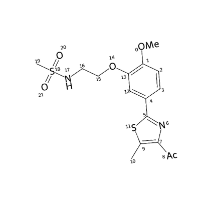 COc1ccc(-c2nc(C(C)=O)c(C)s2)cc1OCCNS(C)(=O)=O